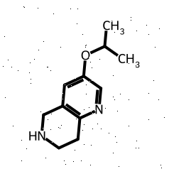 CC(C)Oc1cnc2c(c1)CNCC2